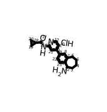 Cl.NC1CCCCc2cc(-c3ccnc(NC(=O)C4CC4)c3)ccc21